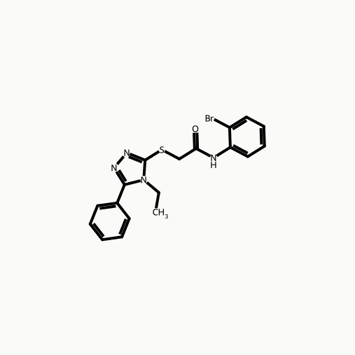 CCn1c(SCC(=O)Nc2ccccc2Br)nnc1-c1ccccc1